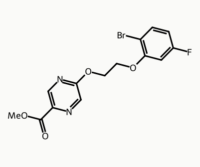 COC(=O)c1cnc(OCCOc2cc(F)ccc2Br)cn1